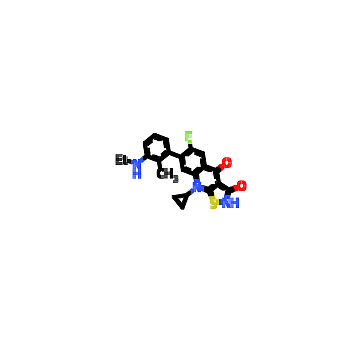 CCNc1cccc(-c2cc3c(cc2F)c(=O)c2c(=O)[nH]sc2n3C2CC2)c1C